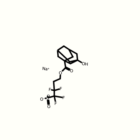 O=C(OCCC(F)(F)C(F)(F)S(=O)(=O)[O-])C12CC3CC(CC(O)(C3)C1)C2.[Na+]